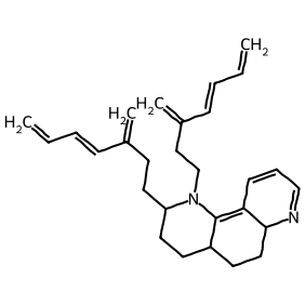 C=CC=CC(=C)CCC1CCC2CCC3N=CC=CC3=C2N1CCC(=C)C=CC=C